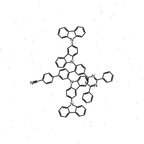 N#Cc1ccc(-c2ccc(-c3cc(-c4nc(-c5ccccc5)nc(-c5ccccc5)n4)ccc3-n3c4ccccc4c4cc(-n5c6ccccc6c6ccccc65)ccc43)c(-n3c4ccccc4c4cc(-n5c6ccccc6c6ccccc65)ccc43)c2)cc1